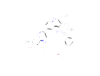 Cc1nc2ccc(-c3cnc(C(C)(C)O)nc3)cc2c(N[C@H](C)c2cccc(OCC(=O)O)c2)c1Cl